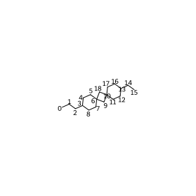 CCCC1CCC2(CC1)CC1(CCC(CC)CC1)C2